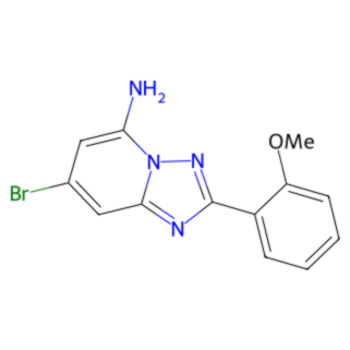 COc1ccccc1-c1nc2cc(Br)cc(N)n2n1